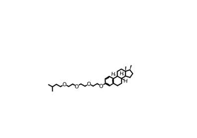 CC(C)CCOCCOCCOCCOc1ccc2c(c1)CC[C@@H]1[C@@H]2CC[C@]2(C)[C@@H](C)CC[C@@H]12